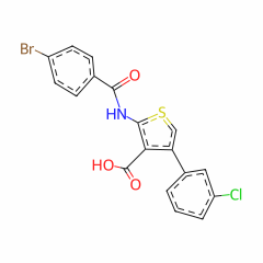 O=C(Nc1scc(-c2cccc(Cl)c2)c1C(=O)O)c1ccc(Br)cc1